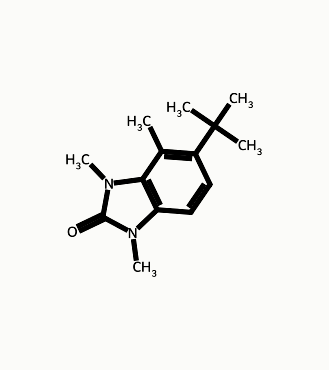 Cc1c(C(C)(C)C)ccc2c1n(C)c(=O)n2C